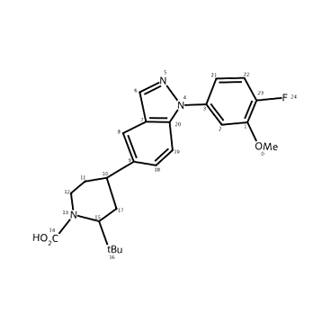 COc1cc(-n2ncc3cc(C4CCN(C(=O)O)C(C(C)(C)C)C4)ccc32)ccc1F